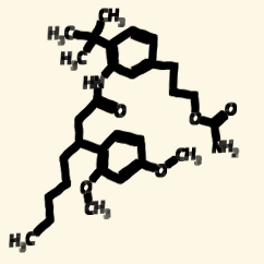 CCCCCC(CC(=O)Nc1cc(CCCOC(N)=O)ccc1C(C)(C)C)c1ccc(OC)cc1OC